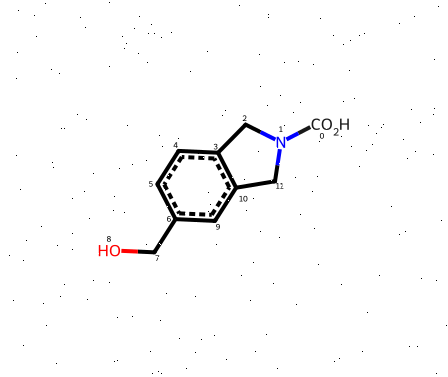 O=C(O)N1Cc2ccc(CO)cc2C1